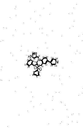 O=S(=O)(c1ccccc1)N1Cc2cc(-c3ccncc3)ccc2N(Cc2c[nH]cn2)CC1Cc1ccccc1